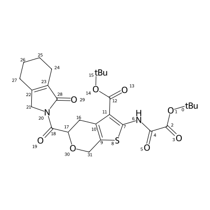 CC(C)(C)OC(=O)C(=O)Nc1sc2c(c1C(=O)OC(C)(C)C)CC(C(=O)N1CC3=C(CCCC3)C1=O)OC2